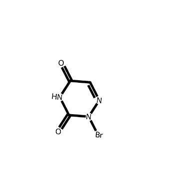 O=c1cnn(Br)c(=O)[nH]1